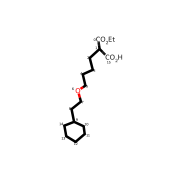 CCOC(=O)C(CCCCOCCC1CCCCC1)C(=O)O